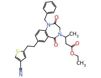 CCOC(=O)CC(C)N1CC(=O)N(Cc2ccccc2)c2ccc(CCc3cc(C#N)cs3)cc2C1=O